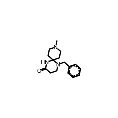 CN1CCC2(CC1)NC(=O)CCN2Cc1ccccc1